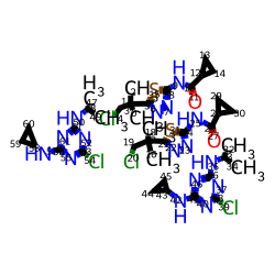 CC(C)(CCl)c1nnc(NC(=O)C2CC2)s1.CC(C)(CCl)c1nnc(NC(=O)C2CC2)s1.CC(C)Nc1nc(Cl)nc(NC2CC2)n1.CC(C)Nc1nc(Cl)nc(NC2CC2)n1